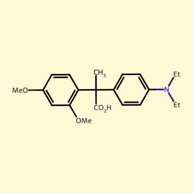 CCN(CC)c1ccc(C(C)(C(=O)O)c2ccc(OC)cc2OC)cc1